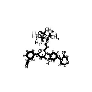 CC(C)[Si](OCCCN1C(=CC(=O)c2cccc(C#N)c2)Nc2cc(N3CCOCC3=O)ccc21)(C(C)C)C(C)C